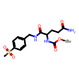 CC(C)(C)OC(=O)NC(CCC(N)=O)C(=O)NCc1ccc(S(C)(=O)=O)cc1